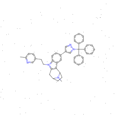 Cc1ccc(CCn2c3c(c4cc(-c5cnn(C(c6ccccc6)(c6ccccc6)c6ccccc6)c5)ccc42)C2CCC(C3)N2C)cn1